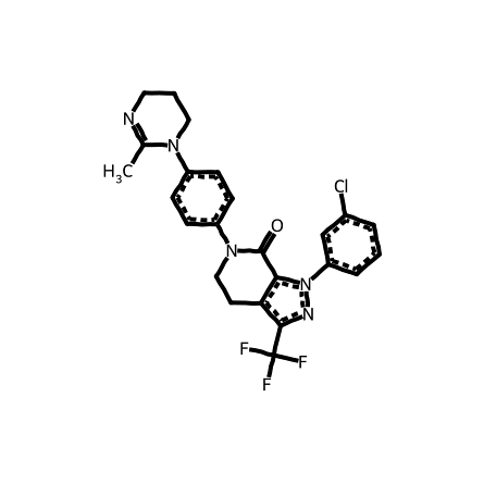 CC1=NCCCN1c1ccc(N2CCc3c(C(F)(F)F)nn(-c4cccc(Cl)c4)c3C2=O)cc1